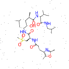 Cc1nc(CCC(=O)N[C@@H](CS(C)(=O)=O)C(=O)N[C@H](CC(C)C)[C@@H](O)C[C@@H](C)C(=O)N[C@@H](C(=O)NCC(C)C)C(C)C)c(C)o1